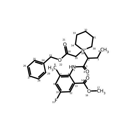 CCC(C(=O)Nc1c(C)cc(F)cc1C(=O)OC)[N+]1(CC(=O)OCc2ccccc2)CCCCC1